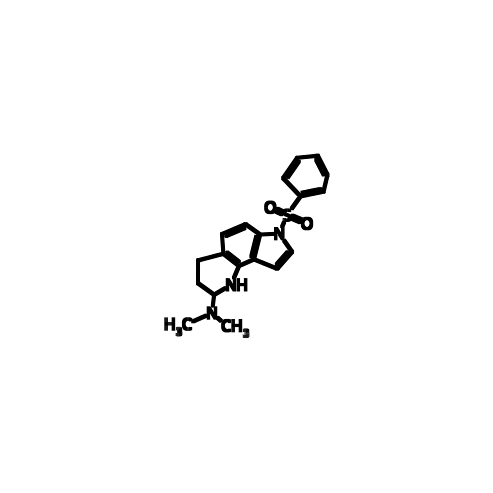 CN(C)C1CCc2ccc3c(ccn3S(=O)(=O)c3ccccc3)c2N1